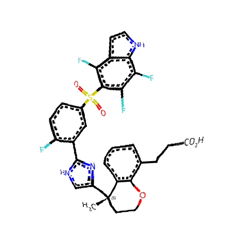 C[C@]1(c2c[nH]c(-c3cc(S(=O)(=O)c4c(F)c(F)c5[nH]ccc5c4F)ccc3F)n2)CCOc2c(CCC(=O)O)cccc21